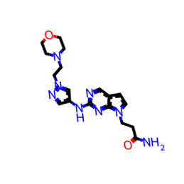 NC(=O)CCn1ccc2cnc(Nc3cnn(CCN4CCOCC4)c3)nc21